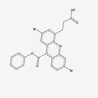 O=C(O)CCc1cc(Br)cc2c(C(=O)Oc3ccccc3)c3ccc(Br)cc3nc12